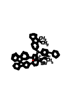 CC(C(C)(C)C)C(C)(c1ccc(-c2ccc3c(c2)C2(c4ccccc4-3)c3ccccc3-c3ccc(-c4cccc(N(c5ccc(-c6ccccc6)cc5)c5ccc6c(c5)C(C)(C)c5ccccc5-6)c4)cc32)cc1)C(C)(C)C